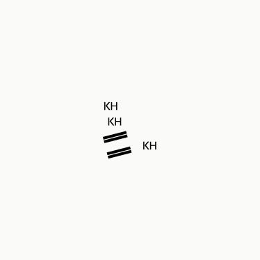 C=C.C=C.[KH].[KH].[KH]